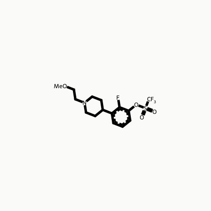 COCCN1CCC(c2cccc(OS(=O)(=O)C(F)(F)F)c2F)CC1